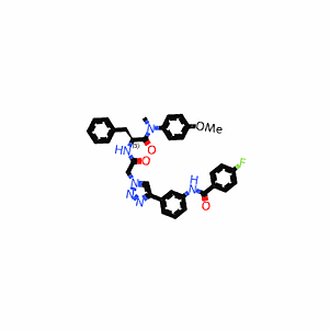 COc1ccc(N(C)C(=O)[C@H](Cc2ccccc2)NC(=O)Cn2cc(-c3cccc(NC(=O)c4ccc(F)cc4)c3)nn2)cc1